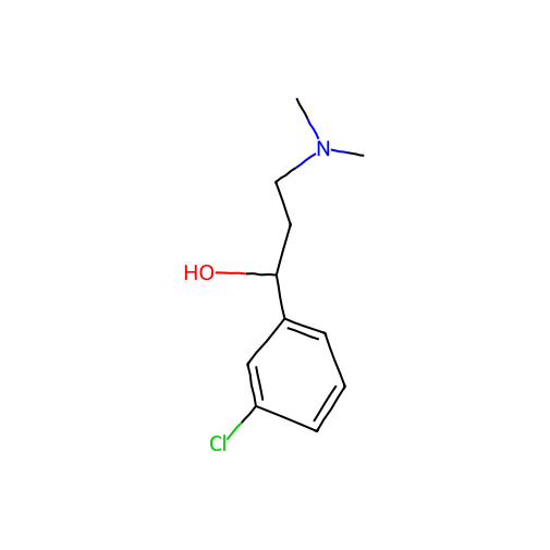 CN(C)CCC(O)c1cccc(Cl)c1